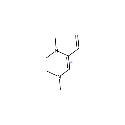 C=C/C(=C/N(C)C)N(C)C